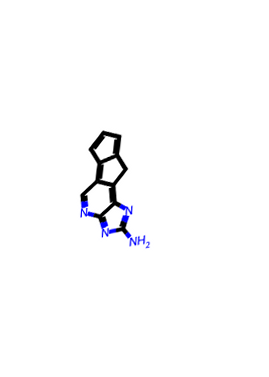 NC1=Nc2c3c(cnc2=N1)=C1C=CC=C1C3